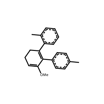 COC1=CC[CH]C(c2ccccc2C)=C1c1ccc(C)cc1